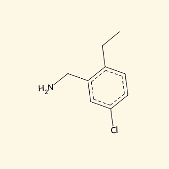 CCc1ccc(Cl)cc1CN